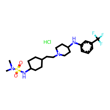 CN(C)S(=O)(=O)NC1CCC(CCN2CCC(Nc3cccc(C(F)(F)F)c3)CC2)CC1.Cl